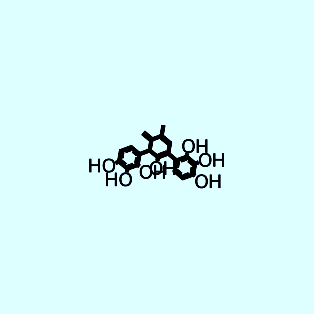 C=C1C(C)=CC(c2ccc(O)c(O)c2O)=C(O)C1c1ccc(O)c(O)c1O